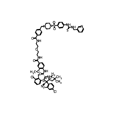 COc1cc(C(=O)NCCOCCNC(=O)c2ccc(CN3CCN(S(=O)(=O)c4ccc(NC(=S)NCc5cccnc5)cc4)CC3)cc2)ccc1NC(=O)[C@@H]1N[C@@H](CC(C)(C)C)[C@](C#N)(c2ccc(Cl)cc2F)[C@H]1c1cccc(Cl)c1F